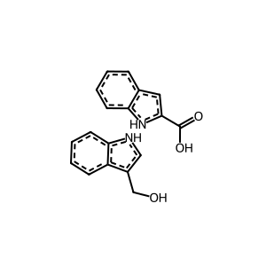 O=C(O)c1cc2ccccc2[nH]1.OCc1c[nH]c2ccccc12